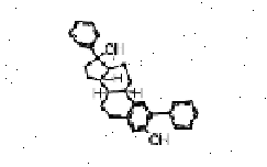 C[C@]12CC[C@@H]3c4cc(-c5ccccc5)c(O)cc4CC[C@H]3[C@@H]1CC[C@]2(O)c1ccccc1